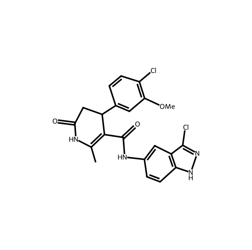 COc1cc(C2CC(=O)NC(C)=C2C(=O)Nc2ccc3[nH]nc(Cl)c3c2)ccc1Cl